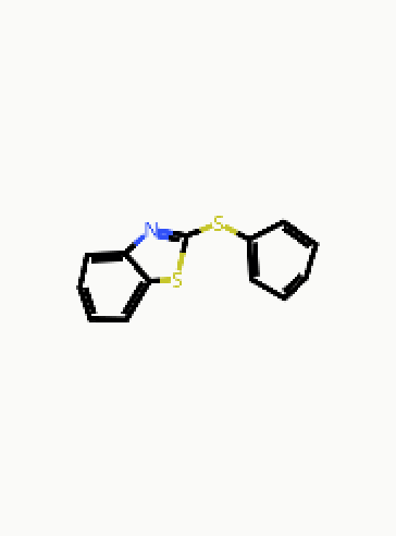 c1ccc(Sc2nc3ccccc3s2)cc1